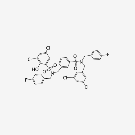 O=S(=O)(c1cccc(CN(Cc2ccc(F)cc2)S(=O)(=O)c2cc(Cl)cc(Cl)c2O)c1)N(Cc1ccc(F)cc1)Cc1cc(Cl)cc(Cl)c1